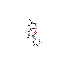 Cc1ccc2c(c1)C(=S)C(C)C(c1ccccc1)O2